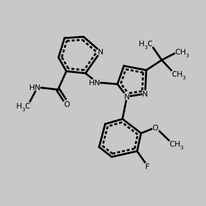 CNC(=O)c1cccnc1Nc1cc(C(C)(C)C)nn1-c1cccc(F)c1OC